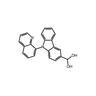 OC(O)c1ccc2c(c1)c1ccccc1n2-c1cccc2cccnc12